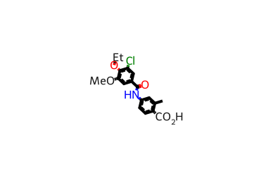 CCOc1c(Cl)cc(C(=O)Nc2ccc(C(=O)O)c(C)c2)cc1OC